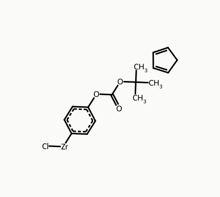 C1=CCC=C1.CC(C)(C)OC(=O)Oc1cc[c]([Zr][Cl])cc1